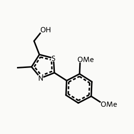 COc1ccc(-c2nc(C)c(CO)s2)c(OC)c1